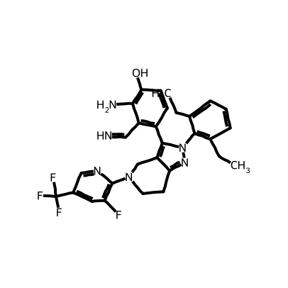 CCc1cccc(CC)c1-n1nc2c(c1-c1ccc(O)c(N)c1C=N)CN(c1ncc(C(F)(F)F)cc1F)CC2